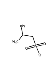 CCCC(C)CS([O])(=O)=O